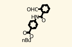 CCCCOC(=O)c1ccc(NC(=O)c2ccccc2C=O)cc1